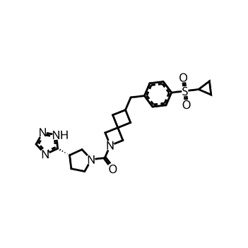 O=C(N1CC[C@H](c2ncn[nH]2)C1)N1CC2(CC(Cc3ccc(S(=O)(=O)C4CC4)cc3)C2)C1